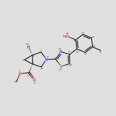 COC(=O)[C@]12C[C@H]1CN(c1nc(-c3cc(C)ccc3O)cs1)C2